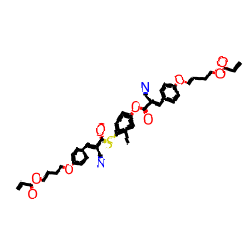 C=CC(=O)OCCCCOc1ccc(/C=C(\C#N)C(=O)Oc2ccc(SC(=O)/C(C#N)=C/c3ccc(OCCCCOC(=O)C=C)cc3)c(C)c2)cc1